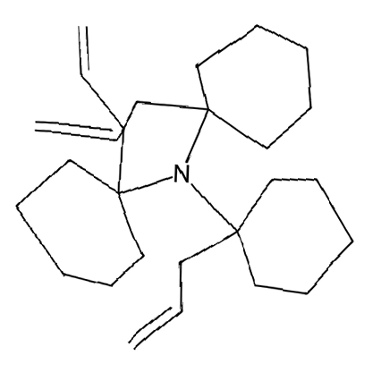 C=CCC1(N(C2(CC=C)CCCCC2)C2(CC=C)CCCCC2)CCCCC1